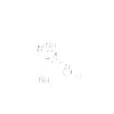 Nc1nc(NCc2ccc(Cl)cn2)nc(C[C@H]2CC[C@H](N)CC2)c1[N+](=O)[O-]